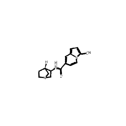 N#Cc1ccc2cc(C(=O)NC3CN4CC[C@H]3C4)ccn12